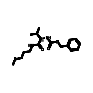 CSCCCNC(=O)[C@@H](NC(=O)OCc1ccccc1)C(C)C